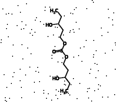 CCC(O)CCOS(=O)OCCC(O)CC